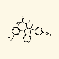 Cc1ccc(S(=O)(=O)N2C(F)C(=O)Nc3ccc([N+](=O)[O-])cc3C2c2ccccc2)cc1